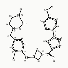 COc1ccc(-c2nnc(C(=O)N3CC(Oc4ccc(CN5CCN(C)CC5)cc4C)C3)o2)cc1